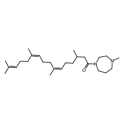 CC(C)=CCCC(C)=CCCC(C)=CCCC(C)CC(=O)N1CCCN(C)CC1